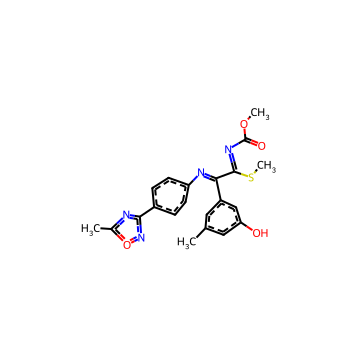 COC(=O)/N=C(SC)/C(=N/c1ccc(-c2noc(C)n2)cc1)c1cc(C)cc(O)c1